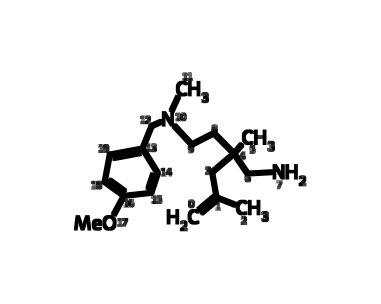 C=C(C)CC(C)(CN)CCN(C)Cc1ccc(OC)cc1